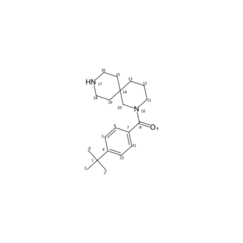 CC(C)(C)c1ccc(C(=O)N2CCCC3(CCNCC3)C2)cc1